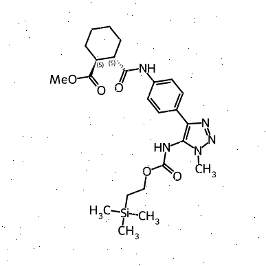 COC(=O)[C@H]1CCCC[C@@H]1C(=O)Nc1ccc(-c2nnn(C)c2NC(=O)OCC[Si](C)(C)C)cc1